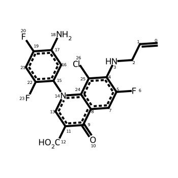 C=CCNc1c(F)cc2c(=O)c(C(=O)O)cn(-c3cc(N)c(F)cc3F)c2c1Cl